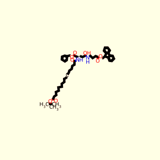 CC(C)(C)OC(=O)CCCCCCCCCCCCCCCCC(=O)N[C@@H](CCC(O)NCCCC(=O)OCC1c2ccccc2-c2ccccc21)C(=O)OCc1ccccc1